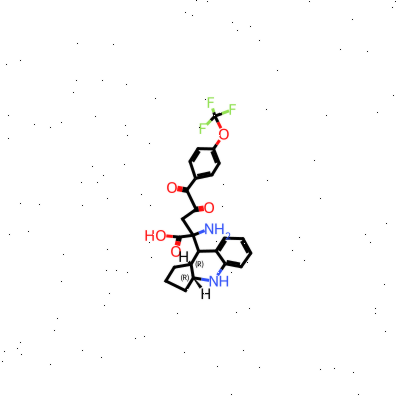 NC(CC(=O)C(=O)c1ccc(OC(F)(F)F)cc1)(C(=O)O)C1c2ccccc2N[C@@H]2CCC[C@H]12